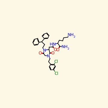 NCCCCC(NC(=O)CC1C(=O)N(CCc2ccc(Cl)cc2Cl)CC(=O)N1CCC(c1ccccc1)c1ccccc1)C(N)=O